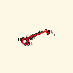 CO[C@H]1C[C@@H]2CC[C@@H](C)[C@@](O)(O2)C(=O)C(=O)N2CCCC[C@H]2C(=O)O[C@H]([C@H](N)C[C@@H]2CC[C@@H](OC(=O)NCCOCCOCCOCCOCCOCCOCCOCCOCCC(=O)NCCCCn3nc(-c4ccc5oc(N)nc5c4)c4c(N)ncnc43)[C@H](OC)C2)C[C@@H](OC)[C@H](C)/C=C(\C)[C@@H](O)[C@@H](O)C(=O)[C@H](C)C[C@H](C)/C=C/C=C/C=C/1C